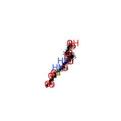 COC(=O)CCC(=O)CC(=O)SCCNC(=O)CCNC(=O)[C@@H]1OC(C)(CCCC(=O)O)OCC1(C)C